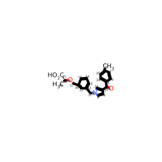 Cc1ccc(C(=O)c2ccn(Cc3cccc(CO[C@H](C)C(=O)O)c3)c2)cc1